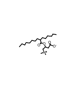 CCCCCCCCC(CCCCCC)C(=O)OC(CC(=O)[O-])C[N+](C)(C)C